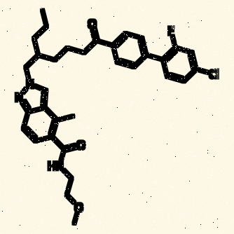 CCCC(CCCC(=O)c1ccc(-c2ccc(Cl)cc2F)cc1)Cn1cc2c(C)c(C(=O)NCCOC)ccc2n1